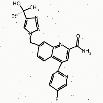 CC[C@@](C)(O)c1cn(Cc2ccc3c(-c4ccc(F)cn4)cc(C(N)=O)nc3c2)nn1